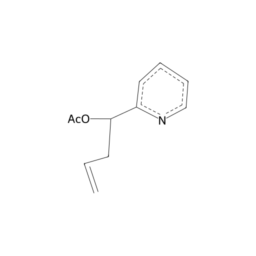 C=CCC(OC(C)=O)c1ccccn1